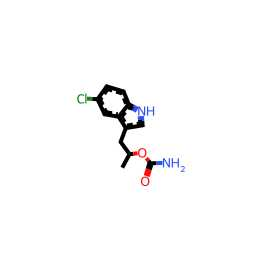 CC(Cc1c[nH]c2ccc(Cl)cc12)OC(N)=O